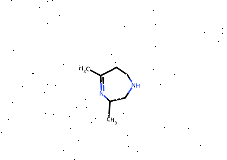 CC1=NC(C)CNCC1